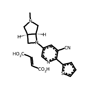 CN1C[C@@H]2CN(c3cnc(-c4cccs4)c(C#N)c3)[C@@H]2C1.O=C(O)/C=C/C(=O)O